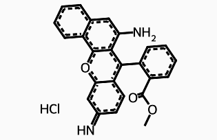 COC(=O)c1ccccc1-c1c2ccc(=N)cc-2oc2c1c(N)cc1ccccc12.Cl